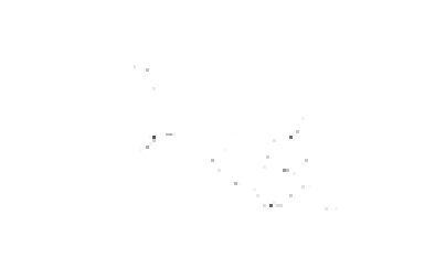 CCC(C)C(=O)OCC(=O)OC1C2CC3C1OC(=O)C3C2C